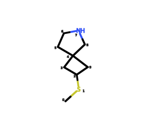 CSC1CC2(CCNC2)C1